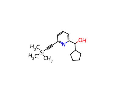 C[Si](C)(C)C#Cc1cccc(C(O)C2CCCC2)n1